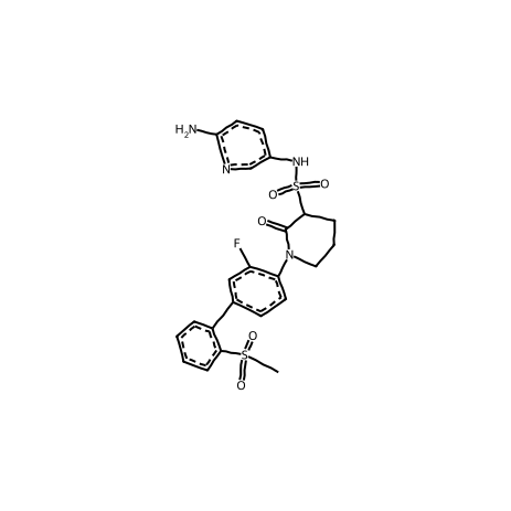 CS(=O)(=O)c1ccccc1-c1ccc(N2CCCC(S(=O)(=O)Nc3ccc(N)nc3)C2=O)c(F)c1